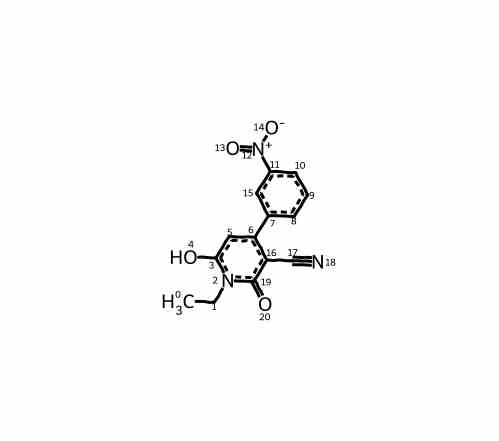 CCn1c(O)cc(-c2cccc([N+](=O)[O-])c2)c(C#N)c1=O